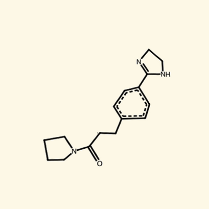 O=C([CH]Cc1ccc(C2=NCCN2)cc1)N1CCCC1